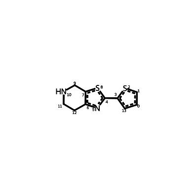 c1csc(-c2nc3c(s2)CNCC3)c1